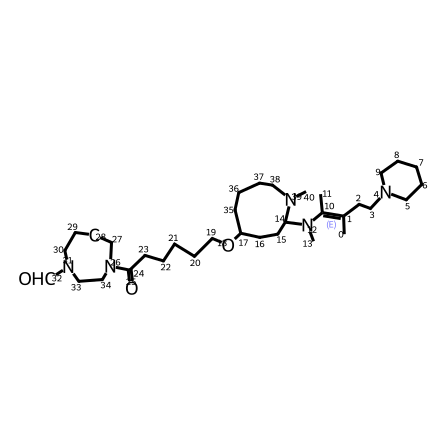 C/C(CCN1CCCCC1)=C(/C)N(C)C1CCC(OCCCCCC(=O)N2CCCCN(C=O)CC2)CCCCN1C